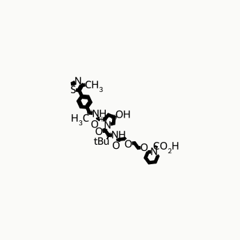 Cc1ncsc1-c1ccc([C@H](C)NC(=O)[C@@H]2C[C@@H](O)CN2C(=O)[C@@H](NC(=O)COCCOC2CCCCN2C(=O)O)C(C)(C)C)cc1